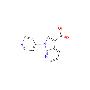 O=C(O)c1cn(-c2ccncc2)c2ncccc12